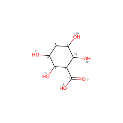 O=C(O)C1C(O)C(O)CC(O)C1O